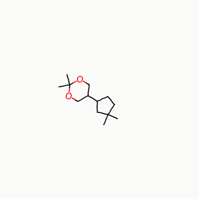 CC1(C)CCC(C2COC(C)(C)OC2)C1